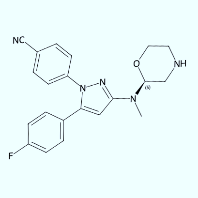 CN(c1cc(-c2ccc(F)cc2)n(-c2ccc(C#N)cc2)n1)[C@@H]1CNCCO1